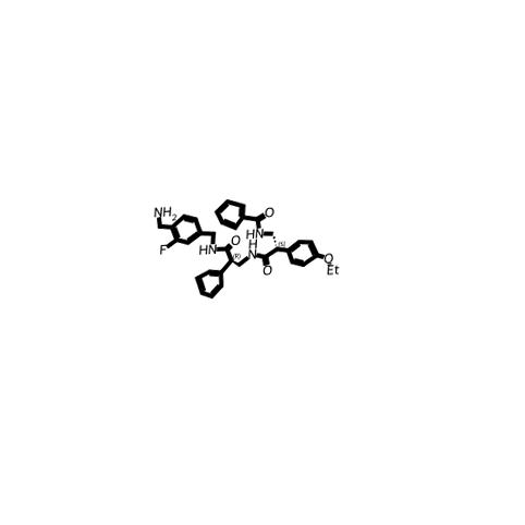 CCOc1ccc([C@@H](CNC(=O)c2ccccc2)C(=O)NC[C@H](C(=O)NCc2ccc(CN)c(F)c2)c2ccccc2)cc1